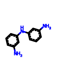 Nc1cccc(Nc2cccc(N)c2)c1